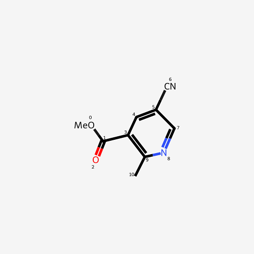 COC(=O)c1cc(C#N)cnc1C